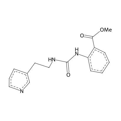 COC(=O)c1ccccc1NC(=O)NCCc1cccnc1